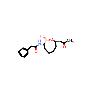 CC(=O)C[C@@H]1CCCC[C@H](NC(=O)Cc2ccccc2)B(O)O1